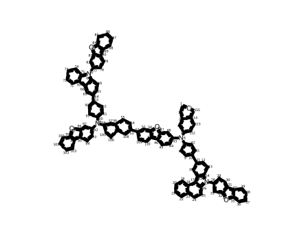 c1ccc2cc(N(c3ccc(-c4ccc5c(c4)c4c6ccccc6ccc4n5-c4ccc5c(c4)oc4ccccc45)cc3)c3ccc4c(c3)oc3cc(-c5ccc6cc(N(c7ccc(-c8ccc9c(c8)c8ccccc8n9-c8ccc9c(c8)oc8ccccc89)cc7)c7ccc8c(c7)oc7ccccc78)ccc6c5)ccc34)ccc2c1